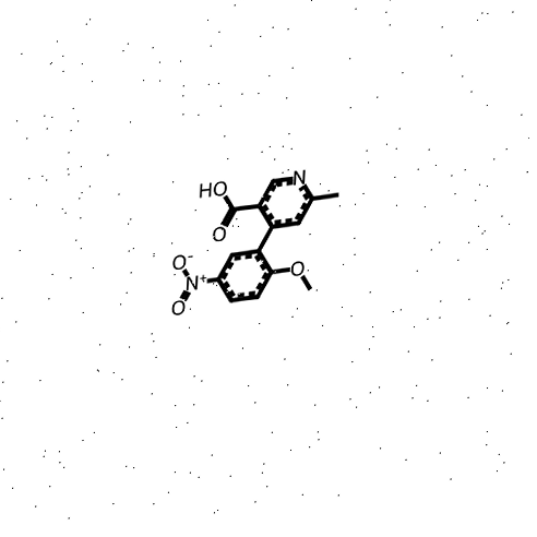 COc1ccc([N+](=O)[O-])cc1-c1cc(C)ncc1C(=O)O